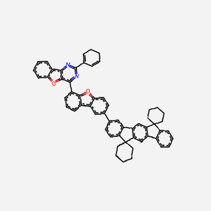 C1=CC(c2nc(-c3cccc4c3oc3ccc(-c5ccc6c(c5)-c5cc7c(cc5C65CCCCC5)-c5ccccc5C75CCCCC5)cc34)c3oc4ccccc4c3n2)=CCC1